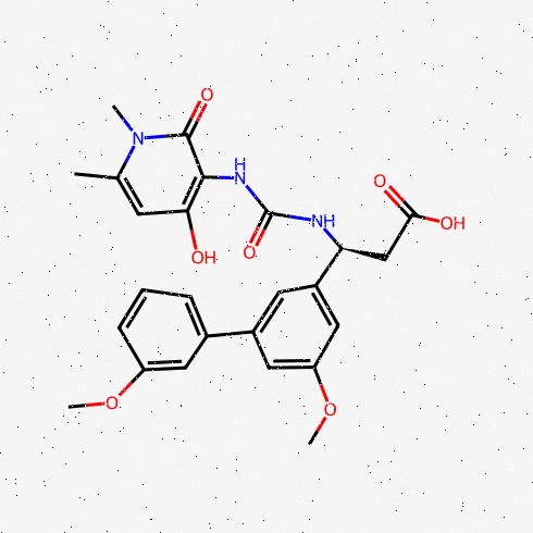 COc1cccc(-c2cc(OC)cc([C@H](CC(=O)O)NC(=O)Nc3c(O)cc(C)n(C)c3=O)c2)c1